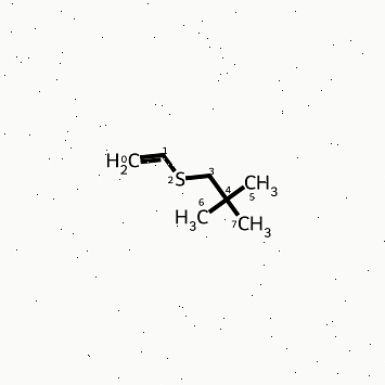 C=CSCC(C)(C)C